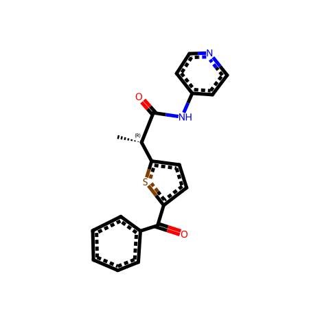 C[C@H](C(=O)Nc1ccncc1)c1ccc(C(=O)c2ccccc2)s1